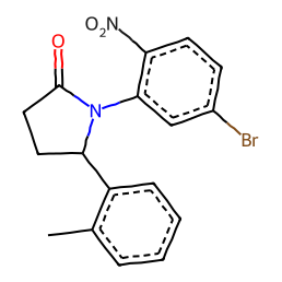 Cc1ccccc1C1CCC(=O)N1c1cc(Br)ccc1[N+](=O)[O-]